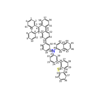 c1ccc(-c2c(-c3ccccc3)c3cc(-c4cccc(N(c5cccc(-c6cccc7c6sc6ccccc67)c5)c5ccc6ccccc6c5)c4)ccc3c3ccccc23)cc1